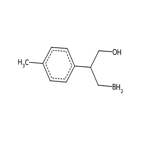 BCC(CO)c1ccc(C)cc1